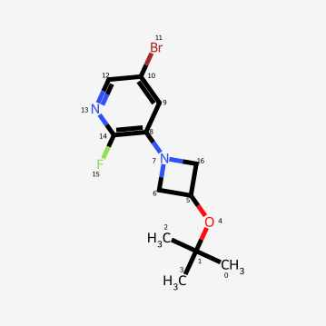 CC(C)(C)OC1CN(c2cc(Br)cnc2F)C1